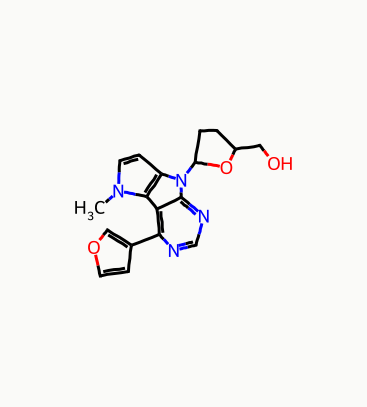 Cn1ccc2c1c1c(-c3ccoc3)ncnc1n2C1CCC(CO)O1